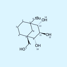 CC(C)(C)C12CCC[C@](CO)(C1)[C@@H](O)[C@H](O)[C@H]2O